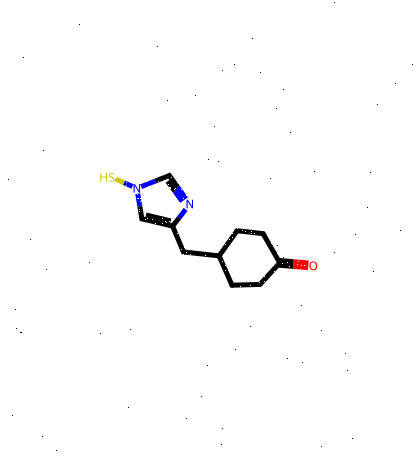 O=C1CCC(Cc2cn(S)cn2)CC1